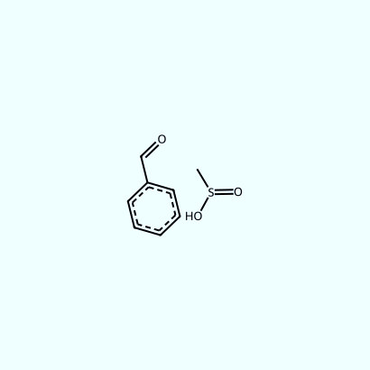 CS(=O)O.O=Cc1ccccc1